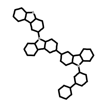 C1CCC(C2CCCC(N3C4CCCCC4C4CC(C5CCC6C(C5)C5CCCCC5N6C5CCC6SC7CCCCC7C6C5)CCC43)C2)CC1